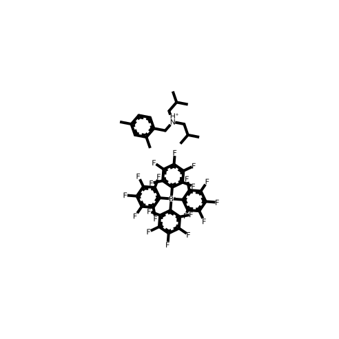 Cc1ccc(C[NH+](CC(C)C)CC(C)C)c(C)c1.Fc1c(F)c(F)c([B-](c2c(F)c(F)c(F)c(F)c2F)(c2c(F)c(F)c(F)c(F)c2F)c2c(F)c(F)c(F)c(F)c2F)c(F)c1F